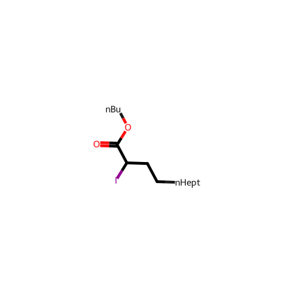 CCCCCCCCCC(I)C(=O)OCCCC